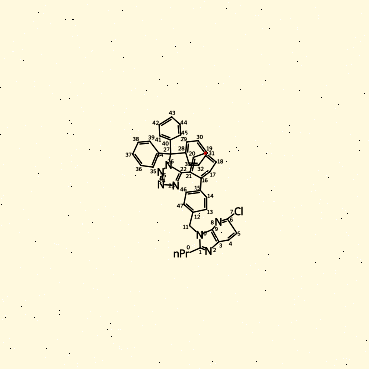 CCCc1nc2ccc(Cl)nc2n1Cc1ccc(-c2ccccc2-c2nnnn2C(c2ccccc2)(c2ccccc2)c2ccccc2)cc1